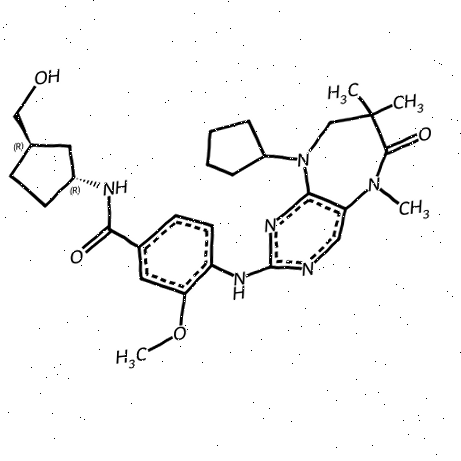 COc1cc(C(=O)N[C@@H]2CC[C@@H](CO)C2)ccc1Nc1ncc2c(n1)N(C1CCCC1)CC(C)(C)C(=O)N2C